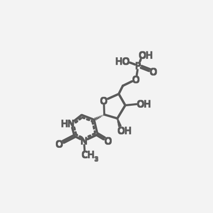 Cn1c(=O)[nH]cc([C@@H]2OC(COP(=O)(O)O)C(O)[C@H]2O)c1=O